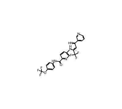 N=C(/C=C(\Nc1ccc(C(=O)Nc2ccc(OC(F)(F)F)cc2)nc1)C(F)(F)F)c1cccnc1